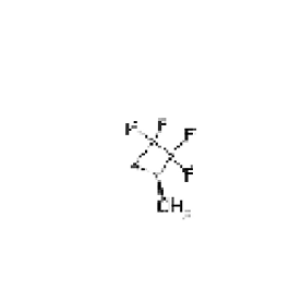 C[C@H]1CC(F)(F)C1(F)F